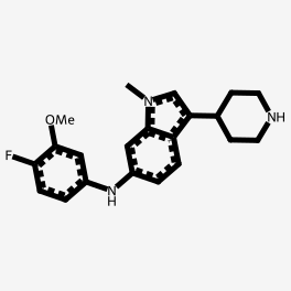 COc1cc(Nc2ccc3c(C4CCNCC4)cn(C)c3c2)ccc1F